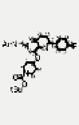 CC(=O)Nc1nc(OC2CCN(C(=O)OC(C)(C)C)CC2)c2nc(-c3ccc(F)cc3)ccc2n1